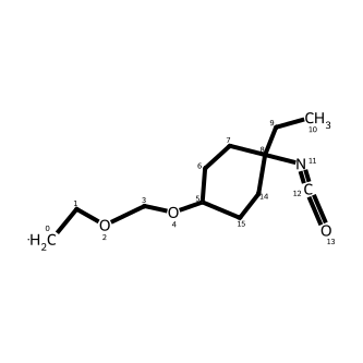 [CH2]COCOC1CCC(CC)(N=C=O)CC1